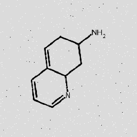 NC1CC=C2C=CC=NC2C1